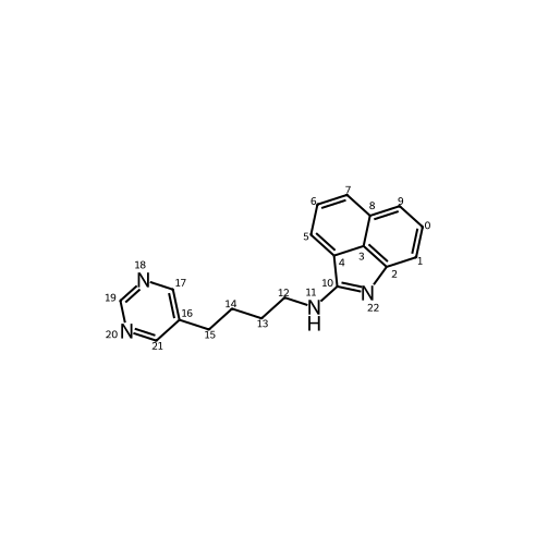 c1cc2c3c(cccc3c1)C(NCCCCc1cncnc1)=N2